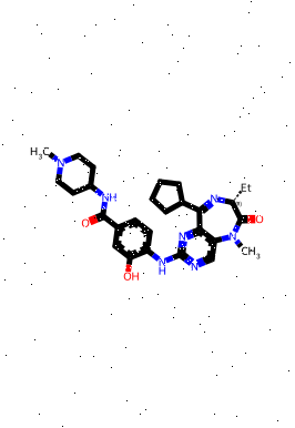 CC[C@H]1N=C(C2CCCC2)c2nc(Nc3ccc(C(=O)NC4CCN(C)CC4)cc3O)ncc2N(C)C1=O